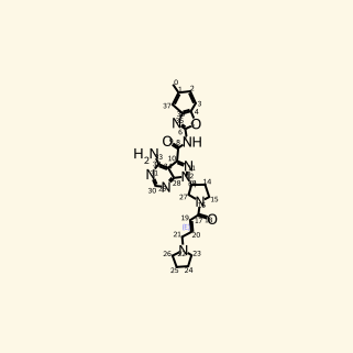 Cc1ccc2oc(NC(=O)c3nn([C@@H]4CCN(C(=O)/C=C/CN5CCCC5)C4)c4ncnc(N)c34)nc2c1